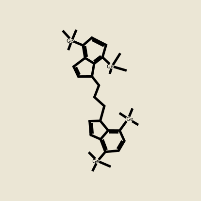 [CH3][Ge]([CH3])([CH3])[c]1cc[c]([Ge]([CH3])([CH3])[CH3])c2c1C=CC2CCCC1C=Cc2[c]([Ge]([CH3])([CH3])[CH3])cc[c]([Ge]([CH3])([CH3])[CH3])c21